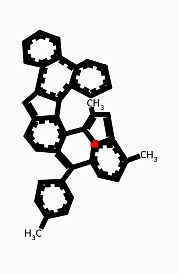 CC1=C(c2c3c(ccc2=C(c2ccc(C)cc2)c2ccc(C)cc2)=[C]c2c-3c3ccccc3c3ccccc23)CC=C1